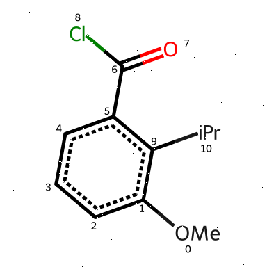 COc1cccc(C(=O)Cl)c1C(C)C